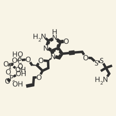 C=CCOC1C[C@H](n2cc(C#CCOCSSC(C)(C)CN)c3c(=O)[nH]c(N)nc32)O[C@@H]1COP(=O)(O)OP(=O)(O)OP(=O)(O)O